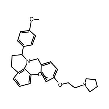 COc1ccc(C2CCc3cccc(OC)c3N2Cc2ccc(OCCN3CCCC3)cc2)cc1